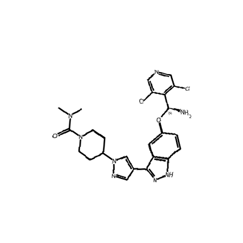 CN(C)C(=O)N1CCC(n2cc(-c3n[nH]c4ccc(O[C@H](N)c5c(Cl)cncc5Cl)cc34)cn2)CC1